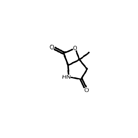 CC12CC(=O)NC1C(=O)O2